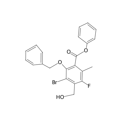 Cc1c(F)c(CO)c(Br)c(OCc2ccccc2)c1C(=O)Oc1ccccc1